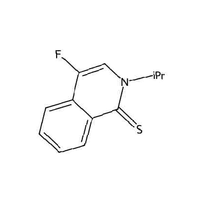 CC(C)n1cc(F)c2ccccc2c1=S